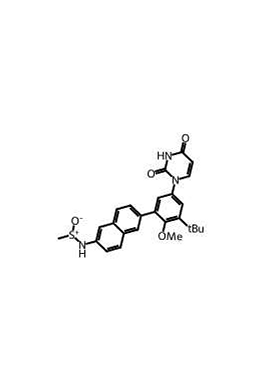 COc1c(-c2ccc3cc(N[S+](C)[O-])ccc3c2)cc(-n2ccc(=O)[nH]c2=O)cc1C(C)(C)C